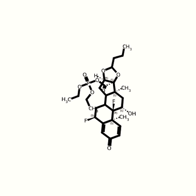 CCCC1O[C@@H]2CC3C4C[C@H](F)C5=CC(=O)C=C[C@]5(C)[C@@]4(F)[C@@H](O)C[C@]3(C)[C@]2(C(=O)OP(=O)(OCC)OCC)O1